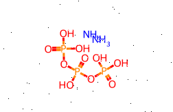 N.N.O=P(O)(O)OP(=O)(O)OP(=O)(O)O